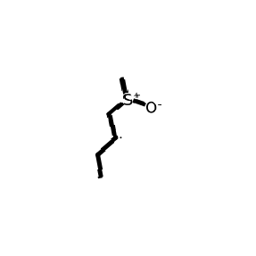 CC[CH]C[S+](C)[O-]